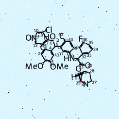 COc1ccc(C(Cc2c(Cl)c[n+]([O-])cc2Cl)c2cc(NC(C(=O)O[C@H]3CN4CCC3CC4)c3cccc(F)c3)ccc2C(=O)O)cc1OC